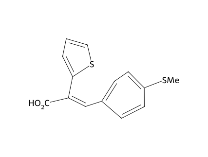 CSc1ccc(C=C(C(=O)O)c2cccs2)cc1